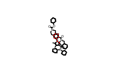 Cc1c(C(=O)N(c2ccccc2)c2ccccc2)cn(-c2cc3c(cc2C(=O)N2Cc4ccccc4C[C@H]2CN2CCOCC2)CN(C(=O)Oc2ccccc2)CC3)c1C